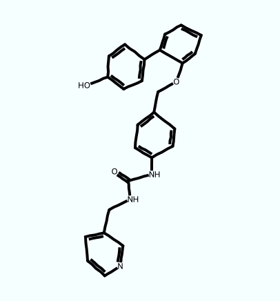 O=C(NCc1cccnc1)Nc1ccc(COc2ccccc2-c2ccc(O)cc2)cc1